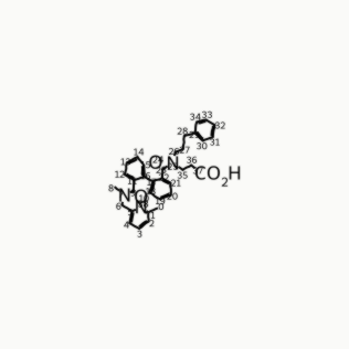 Cc1cccc(CN(C)C(=O)c2ccccc2-c2ccccc2C(=O)N(CCCc2ccccc2)CCC(=O)O)n1